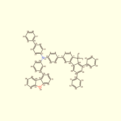 CC1(C)c2ccc(-c3ccc(N(c4ccc(-c5ccccc5)cc4)c4cccc(-c5cccc6oc7ccccc7c56)c4)cc3)cc2-c2cc(-c3ccccc3)cc(-c3ccccc3)c21